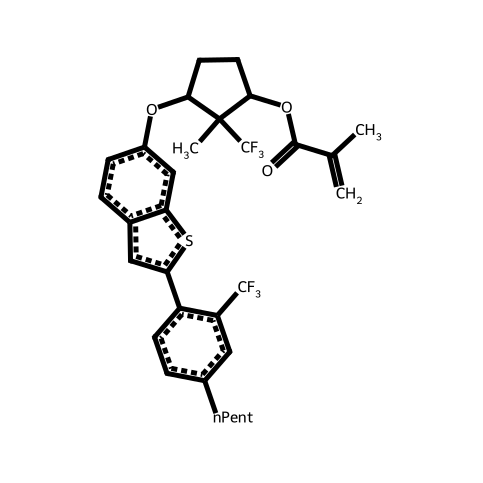 C=C(C)C(=O)OC1CCC(Oc2ccc3cc(-c4ccc(CCCCC)cc4C(F)(F)F)sc3c2)C1(C)C(F)(F)F